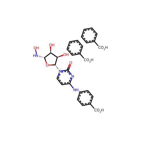 Nc1ccn([C@@H]2O[C@H](NO)[C@@H](O)[C@H]2O)c(=O)n1.O=C(O)c1ccccc1.O=C(O)c1ccccc1.O=C(O)c1ccccc1